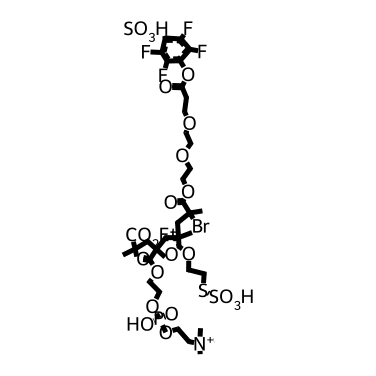 CCOC(=O)C(C)(C)CC(C)(CC(C)(CC(C)(Br)C(=O)OCCOCCOCCC(=O)Oc1c(F)c(F)c(S(=O)(=O)O)c(F)c1F)C(=O)OCCSS(=O)(=O)O)C(=O)OCCOP(=O)(O)OCC[N+](C)(C)C